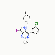 C[C@H]1CC[C@H](Cn2cc(I)c3nc(C#N)nc(-c4cccc(Cl)c4)c32)CC1